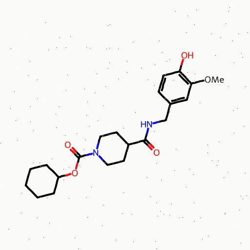 COc1cc(CNC(=O)C2CCN(C(=O)OC3CCCCC3)CC2)ccc1O